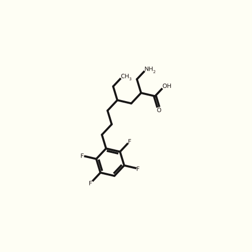 CCC(CCCc1c(F)c(F)cc(F)c1F)CC(CN)C(=O)O